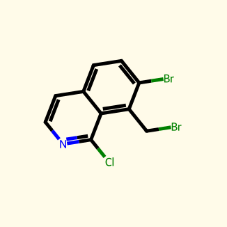 Clc1nccc2ccc(Br)c(CBr)c12